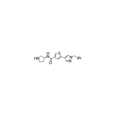 CC(C)Cn1cc(-c2cc(C(=O)N[C@H]3CCNC3)cs2)cn1